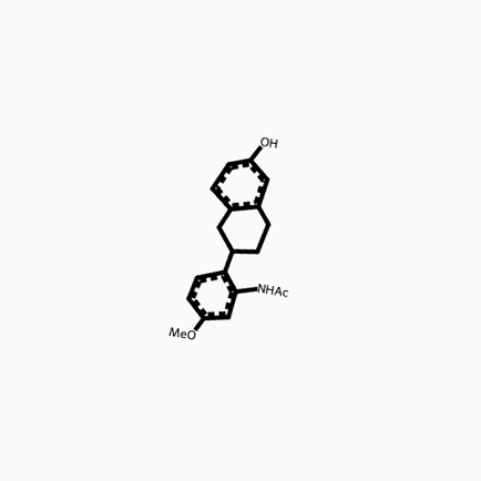 COc1ccc(C2CCc3cc(O)ccc3C2)c(NC(C)=O)c1